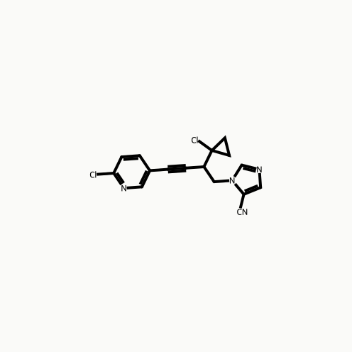 N#Cc1cncn1CC(C#Cc1ccc(Cl)nc1)C1(Cl)CC1